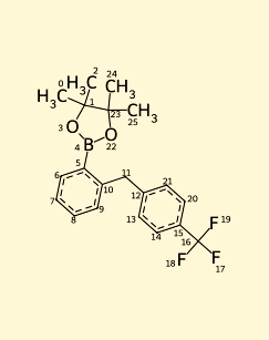 CC1(C)OB(c2ccccc2Cc2ccc(C(F)(F)F)cc2)OC1(C)C